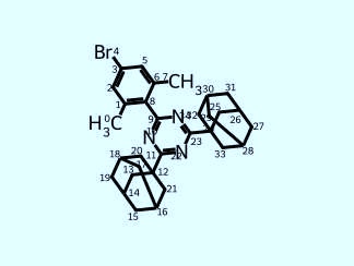 Cc1cc(Br)cc(C)c1-c1nc(C23CC4CC(CC(C4)C2)C3)nc(C23CC4CC(CC(C4)C2)C3)n1